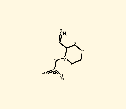 C=CC1CCCCN1C[SH](=O)=O